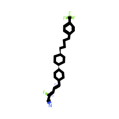 N#C/C(F)=C/C=C/C1CCC([C@H]2CC[C@H](CCCCc3ccc(C(F)(F)F)cc3)CC2)CC1